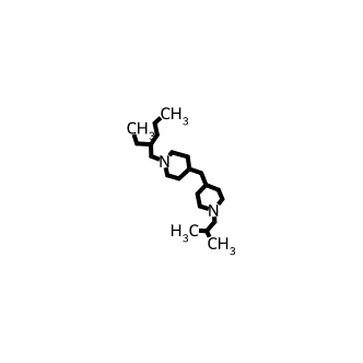 CCCC(CC)CN1CCC(CC2CCN(CC(C)C)CC2)CC1